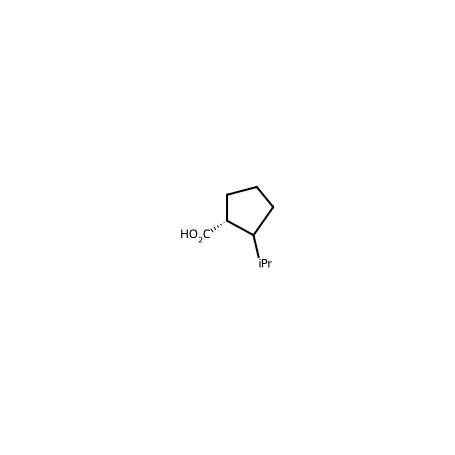 CC(C)C1CCC[C@H]1C(=O)O